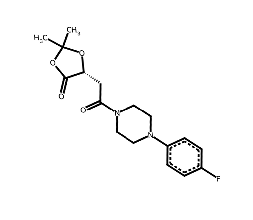 CC1(C)OC(=O)[C@@H](CC(=O)N2CCN(c3ccc(F)cc3)CC2)O1